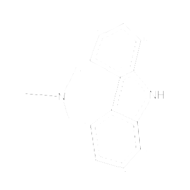 CN(C)C.c1ccc2c(c1)[nH]c1ccccc12